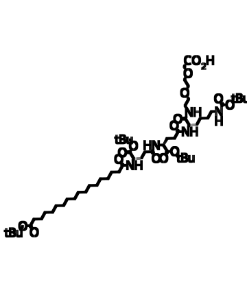 CC(C)(C)OC(=O)CCCCCCCCCCCCCCCCC(=O)N[C@@H](CCC(=O)N[C@@H](CCC(=O)N[C@@H](CCCCNC(=O)OC(C)(C)C)C(=O)NCCOCCOCC(=O)O)C(=O)OC(C)(C)C)C(=O)OC(C)(C)C